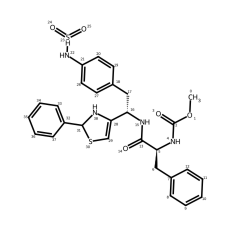 COC(=O)N[C@@H](Cc1ccccc1)C(=O)N[C@@H](Cc1ccc(N[SH](=O)=O)cc1)C1=CSC(c2ccccc2)N1